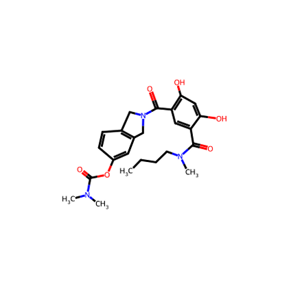 CCCCN(C)C(=O)c1cc(C(=O)N2Cc3ccc(OC(=O)N(C)C)cc3C2)c(O)cc1O